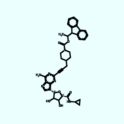 CC(OC(=O)N1CCC(CC#Cc2nc(N)c3ncn([C@@H]4O[C@H](C(=O)NC5CC5)C(O)C4O)c3n2)CC1)C1c2ccccc2-c2ccccc21